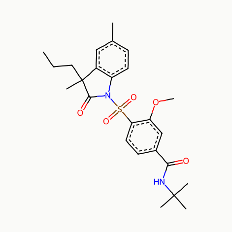 CCCC1(C)C(=O)N(S(=O)(=O)c2ccc(C(=O)NC(C)(C)C)cc2OC)c2ccc(C)cc21